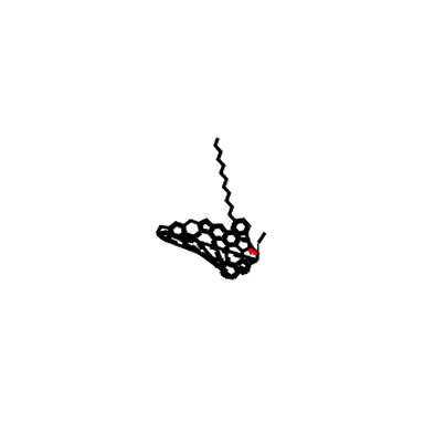 CCCCCCCCCCCCc1ccc(C2N(C)CC3c4cc5c6c7c(cc8c9c7c7c%10c%11c(c4c6%10)C4c6c(cc%10cc%12cc(c%13c%12c%12c%10c6c%11c%12c7c%139)C8)=CC342)C5)cc1